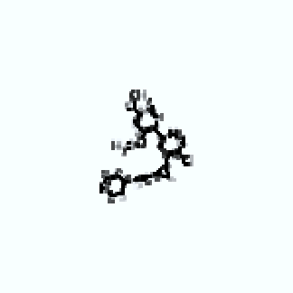 COc1ncc(-c2cc(C3CC3C#Cc3ccncc3)c(Cl)nn2)c(OC)n1